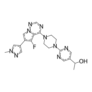 CC(O)c1cnc(N2CCN(c3ncnn4cc(-c5cnn(C)c5)c(F)c34)CC2)nc1